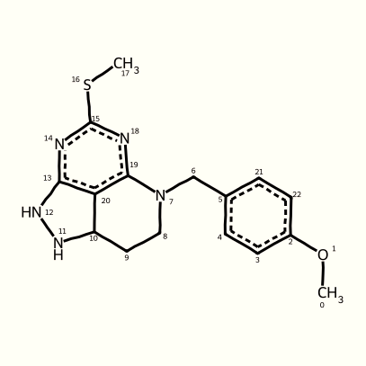 COc1ccc(CN2CCC3NNc4nc(SC)nc2c43)cc1